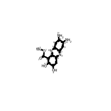 CC(C)(C)OC(=O)c1c(O)c(O)cc2nc3cc(N)c(N)cc3nc12